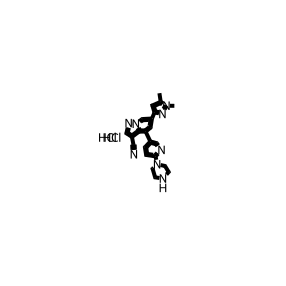 Cc1cc(-c2cc(-c3ccc(N4CCNCC4)nc3)c3c(C#N)cnn3c2)nn1C.Cl.Cl